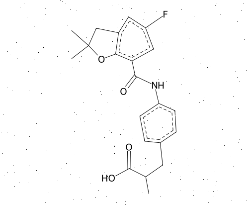 CC(Cc1ccc(NC(=O)c2cc(F)cc3c2OC(C)(C)C3)cc1)C(=O)O